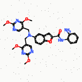 COc1ncc(CN(Cc2cnc(OC)nc2OC)c2ccc3oc(C(=O)Nc4ccccc4N)cc3c2)c(OC)n1